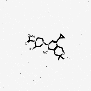 COC(=O)N1CCN(N2C=C(C3CC3)C3=C(CC(C)(C)OC3)[C@@H]2C#N)CC1C(C)C